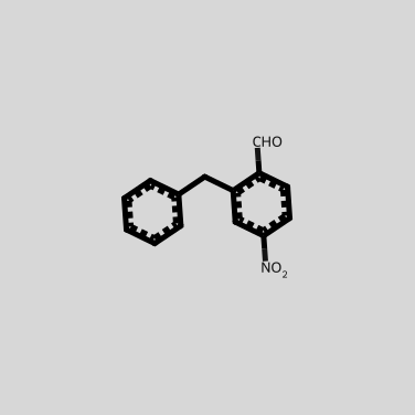 O=Cc1ccc([N+](=O)[O-])cc1Cc1ccccc1